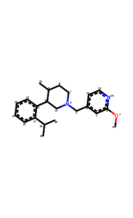 COc1cc(CN2CCC(C)C(c3ccccc3C(C)C)C2)ccn1